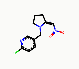 O=[N+]([O-])/C=C1/CCCN1Cc1ccc(Cl)nc1